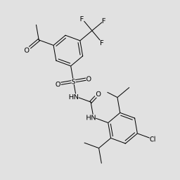 CC(=O)c1cc(C(F)(F)F)cc(S(=O)(=O)NC(=O)Nc2c(C(C)C)cc(Cl)cc2C(C)C)c1